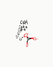 [CsH].[CsH].[CsH].[Li+].[Li+].[Li+].[O-]B([O-])[O-]